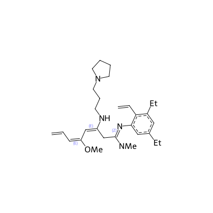 C=C/C=C(\C=C(/C/C(=N/c1cc(CC)cc(CC)c1C=C)NC)NCCCN1CCCC1)OC